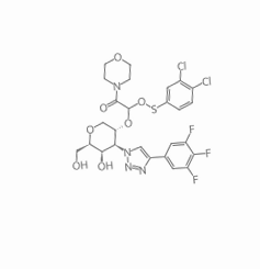 O=C(C(OSc1ccc(Cl)c(Cl)c1)O[C@H]1CO[C@H](CO)[C@H](O)[C@@H]1n1cc(-c2cc(F)c(F)c(F)c2)nn1)N1CCOCC1